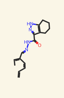 C=C\C=C/C(/C=N/NC(=O)c1n[nH]c2c1CCCC2)=C\C